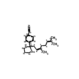 CC(C)=CCCC(C)=CCC1(c2ccc(C#N)cc2)SCCCS1